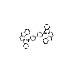 c1ccc2c(c1)sc1ccc3c4ccccc4n(-c4ccc(-c5ccc(-n6c7ccccc7c7ccc8sc9ccccc9c8c76)cc5)cc4)c3c12